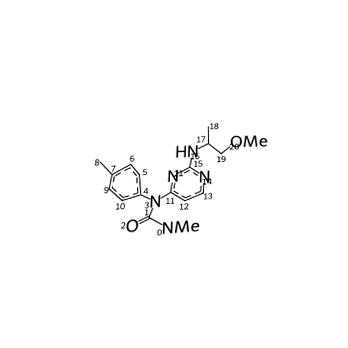 CNC(=O)N(c1ccc(C)cc1)c1ccnc(NC(C)COC)n1